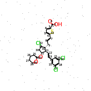 O=C(O)c1ccc(/C=C/C[C@@H]2[C@@H](C=Cc3cc(Cl)cc(Cl)c3)[C@H](OC3CCCCO3)C[C@H]2Cl)s1